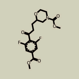 COC(=O)c1cc(F)c(C(=O)CCC2CN(C(=O)OC)CCO2)c(F)c1